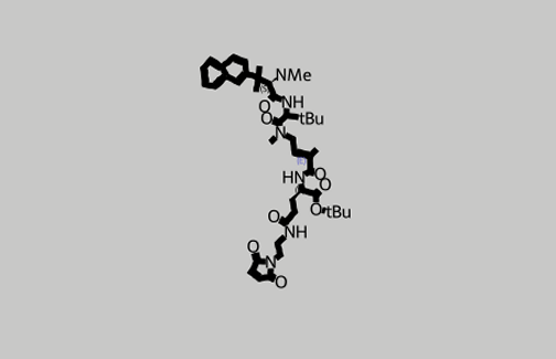 CN[C@H](C(=O)NC(C(=O)N(C)C/C=C(\C)C(=O)N[C@H](CCC(=O)NCCN1C(=O)C=CC1=O)C(=O)OC(C)(C)C)C(C)(C)C)C(C)(C)c1ccc2ccccc2c1